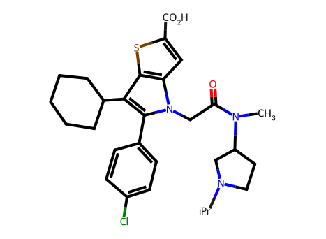 CC(C)N1CCC(N(C)C(=O)Cn2c(-c3ccc(Cl)cc3)c(C3CCCCC3)c3sc(C(=O)O)cc32)C1